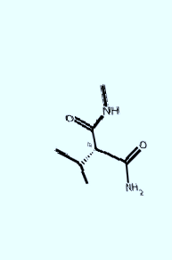 CNC(=O)[C@@H]([C](C)C)C(N)=O